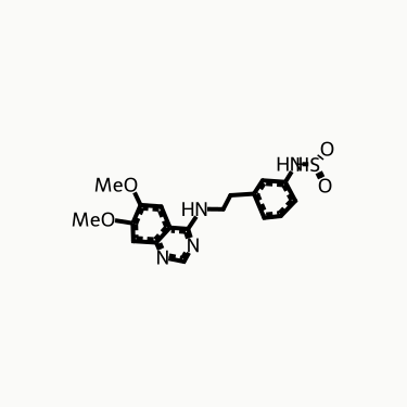 COc1cc2ncnc(NCCc3cccc(N[SH](=O)=O)c3)c2cc1OC